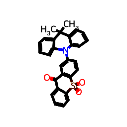 CC1(C)c2ccccc2N(c2ccc3c(c2)C(=O)c2ccccc2S3(=O)=O)c2ccccc21